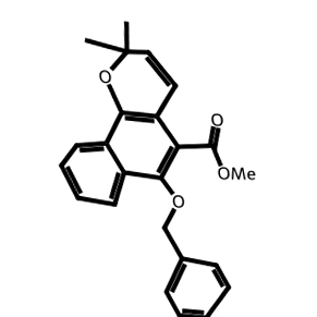 COC(=O)c1c2c(c3ccccc3c1OCc1ccccc1)OC(C)(C)C=C2